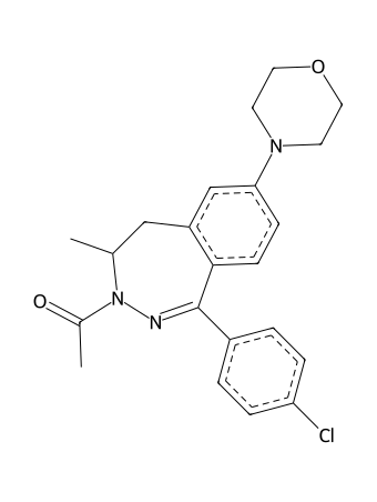 CC(=O)N1N=C(c2ccc(Cl)cc2)c2ccc(N3CCOCC3)cc2CC1C